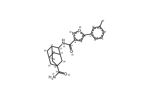 Cc1cccc(-c2cc(C(=O)NC3C4CC5CC3CC(C(N)=O)(C5)C4)no2)c1